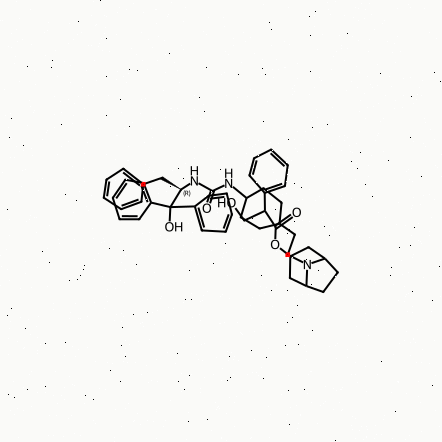 O=C(NC1CCC(CCN2C3CCC2CC(OC(=O)C(CO)c2ccccc2)C3)CC1)N[C@H](Cc1ccccc1)C(O)(c1ccccc1)c1ccccc1